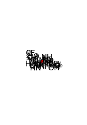 C[C@]1(O)[C@@H](OC(=O)c2cc(C(F)(F)F)ccc2C(F)(F)F)CN2C(=N)NC(CN3C(=O)CN(c4ccccc4)C3O)C3NC(=N)N[C@]321